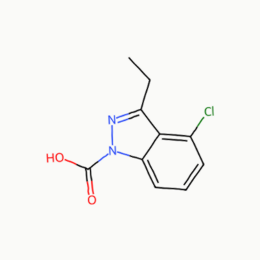 CCc1nn(C(=O)O)c2cccc(Cl)c12